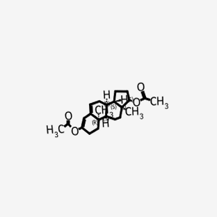 CC(=O)OC1=CC2=CC[C@H]3[C@@H]4CC[C@H](OC(C)=O)[C@@]4(C)CC[C@@H]3[C@@]2(C)CC1